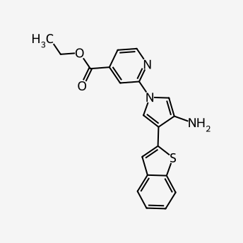 CCOC(=O)c1ccnc(-n2cc(N)c(-c3cc4ccccc4s3)c2)c1